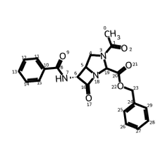 CC(=O)N1CC2[C@@H](NC(=O)c3ccccc3)C(=O)N2C1C(=O)OCc1ccccc1